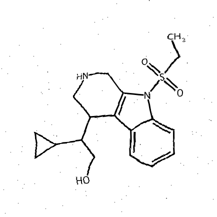 CCS(=O)(=O)n1c2c(c3ccccc31)C(C(CO)C1CC1)CNC2